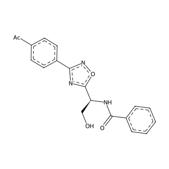 CC(=O)c1ccc(-c2noc([C@H](CO)NC(=O)c3ccccc3)n2)cc1